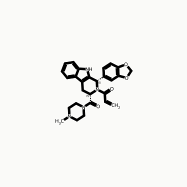 C=CC(=O)N1[C@@H](c2ccc3c(c2)OCO3)c2[nH]c3ccccc3c2C[C@H]1C(=O)N1CCN(C)CC1